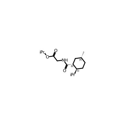 CC(C)OC(=O)CNC(=O)[C@@H]1C[C@H](C)CC[C@H]1C(C)C